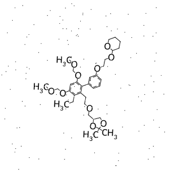 CCc1c(OCOC)cc(OCOC)c(-c2cccc(OCCOC3CCCCO3)c2)c1CCOCC1COC(C)(C)O1